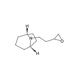 C1C[C@@H]2CC[C@H](C1)N2CCC1CO1